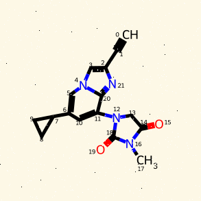 C#Cc1cn2cc(C3CC3)cc(N3CC(=O)N(C)C3=O)c2n1